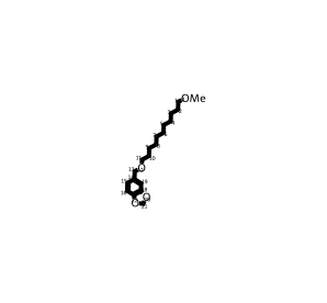 COCCCCCCCCCCCOCc1ccc2c(c1)OCO2